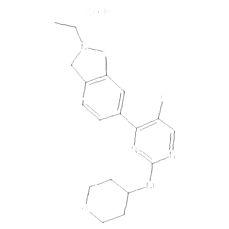 C[C@H](C(=O)O)N1Cc2ccc(-c3nc(NC4CCOCC4)ncc3Cl)cc2S1